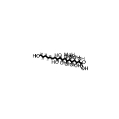 O=C(OO)C(O)C(O)C(O)C(O)C(O)C(O)C(O)C(O)C(O)C(O)CCCCCCCO.[MgH2]